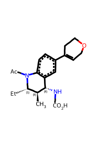 CC[C@H]1[C@H](C)[C@@H](NC(=O)O)c2cc(C3=CCOCC3)ccc2N1C(C)=O